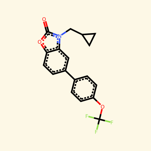 O=c1oc2ccc(-c3ccc(OC(F)(F)F)cc3)cc2n1CC1CC1